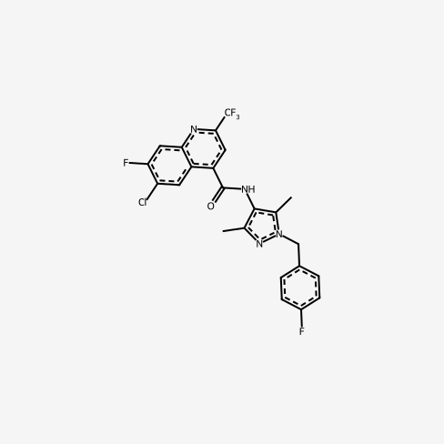 Cc1nn(Cc2ccc(F)cc2)c(C)c1NC(=O)c1cc(C(F)(F)F)nc2cc(F)c(Cl)cc12